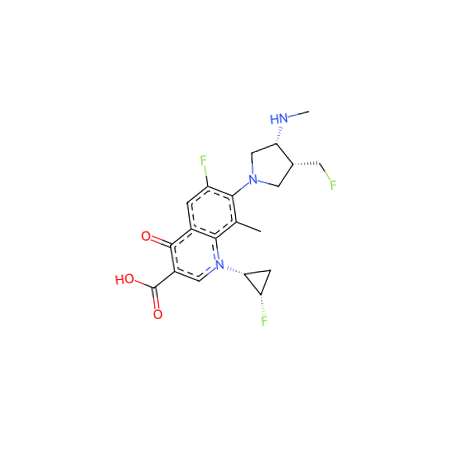 CN[C@H]1CN(c2c(F)cc3c(=O)c(C(=O)O)cn([C@@H]4C[C@@H]4F)c3c2C)C[C@H]1CF